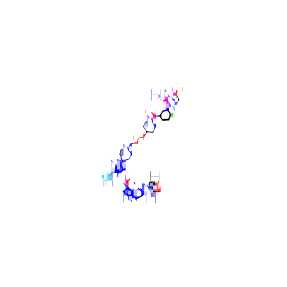 O=C1CCN(c2cc(C(=O)N3CCC(COCCN4CCC(n5cc(NC(=O)c6cnn7ccc(N8C[C@H]9C[C@@H]8CO9)nc67)c(C(F)F)n5)CC4)CC3)ccc2Cl)C(=O)N1